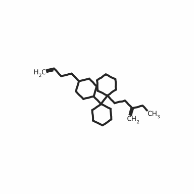 C=CCCC1CCC(C2(C3(CCC(=C)CC)CCCCC3)CCCCC2)CC1